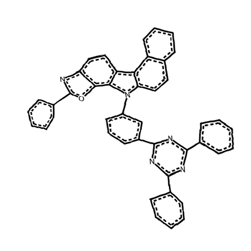 c1ccc(-c2nc(-c3ccccc3)nc(-c3cccc(-n4c5ccc6ccccc6c5c5ccc6nc(-c7ccccc7)oc6c54)c3)n2)cc1